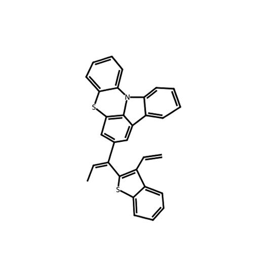 C=Cc1c(/C(=C\C)c2cc3c4c(c2)c2ccccc2n4-c2ccccc2S3)sc2ccccc12